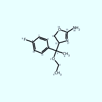 CCOC(C)(c1ccc(F)cc1)C1COC(N)=N1